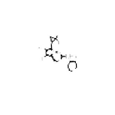 N#Cc1c(F)c2cnc(N[C@@H]3CCOC[C@H]3O)nn2c1C1CC1(F)F